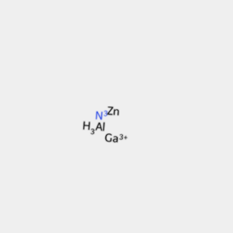 [AlH3].[Ga+3].[N-3].[Zn]